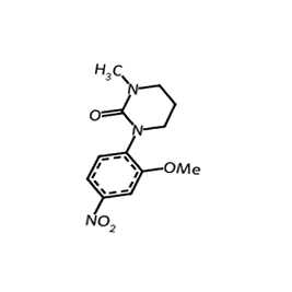 COc1cc([N+](=O)[O-])ccc1N1CCCN(C)C1=O